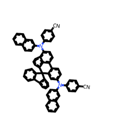 N#Cc1ccc(N(c2ccc3c(c2)C2(c4ccccc4-c4ccccc42)c2cccc4c(N(c5ccc(C#N)cc5)c5ccc6ccccc6c5)ccc-3c24)c2ccc3ccccc3c2)cc1